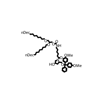 CCCCCCCCCCCCCCCCCCOCC(COC(=O)NCCCCCC(=O)N1CC(O)CC1COC(c1ccccc1)(c1ccc(OC)cc1)c1ccc(OC)cc1)OCCCCCCCCCCCCCCCCCC